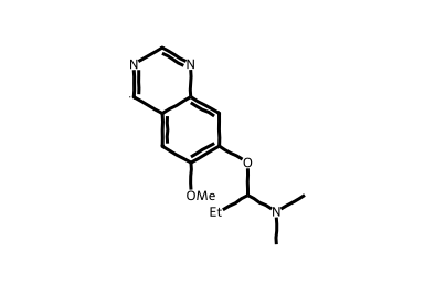 CCC(Oc1cc2ncn[c]c2cc1OC)N(C)C